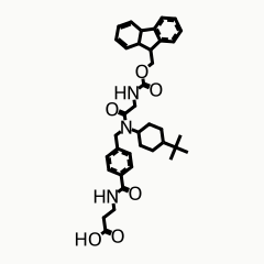 CC(C)(C)C1CCC(N(Cc2ccc(C(=O)NCCC(=O)O)cc2)C(=O)CNC(=O)OCC2c3ccccc3C3C=CC=CC32)CC1